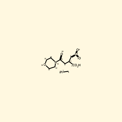 CC(C)C.O=C(O)C(C=S(=O)=O)CC(=O)N1CCOCC1